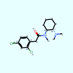 CN(C)[C@H]1CCCC[C@@H]1N(C)C(=O)Cc1ccc(Cl)cc1Cl